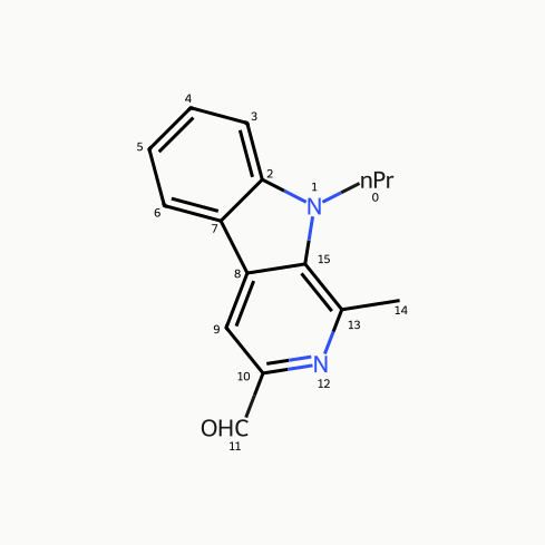 CCCn1c2ccccc2c2cc(C=O)nc(C)c21